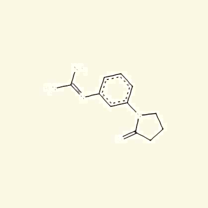 NC(N)=Nc1cccc(N2CCCC2=O)c1